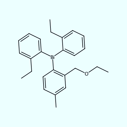 CCOCc1cc(C)cc[c]1[Bi]([c]1ccccc1CC)[c]1ccccc1CC